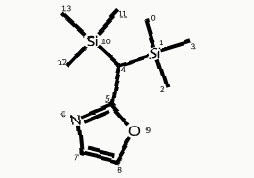 C[Si](C)(C)C(c1ncco1)[Si](C)(C)C